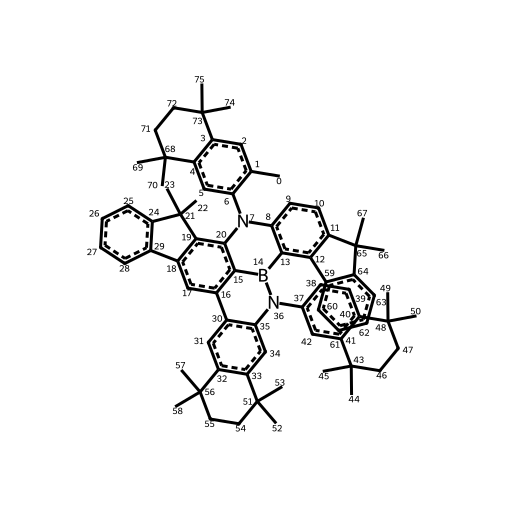 Cc1cc2c(cc1N1c3ccc4c(c3B3c5c(cc6c(c51)C(C)(C)c1ccccc1-6)-c1cc5c(cc1N3c1ccc3c(c1)C(C)(C)CCC3(C)C)C(C)(C)CCC5(C)C)-c1ccccc1C4(C)C)C(C)(C)CCC2(C)C